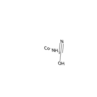 N.N#CO.[Co]